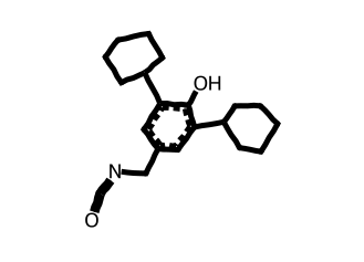 O=C=NCc1cc(C2CCCCC2)c(O)c(C2CCCCC2)c1